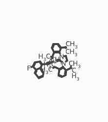 CC(C)c1cccc(C(C)C)c1N1CCN(c2c(C(C)C)cccc2C(C)C)[C]1=[Au][C]#Cc1ccc(F)c2ccccc12